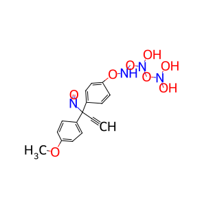 C#CC(N=O)(c1ccc(OC)cc1)c1ccc(ONON(O)ON(O)O)cc1